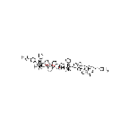 C=C(C)C(=O)C(CCCCCCCCC)Oc1ccc(-c2nnc(-c3ccc(-c4ccc5c(c4)C4(c6cc(-c7nnc(-c8ccc(C)cc8)n7-c7ccccc7)ccc6-5)C5(CCC)CCCC4(CCC)CCC5)cc3)n2-c2ccccc2)cc1